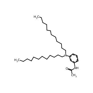 CCCCCCCCCCCCN(CCCCCCCCCCCC)c1cccc(NC(C)=O)c1